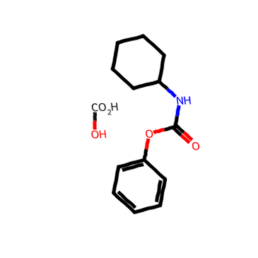 O=C(NC1CCCCC1)Oc1ccccc1.O=C(O)O